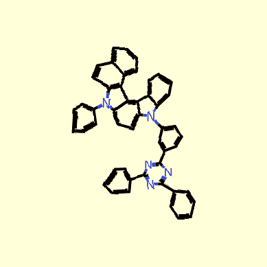 c1ccc(-c2nc(-c3ccccc3)nc(-c3cccc(-n4c5ccccc5c5c6c7c8ccccc8ccc7n(-c7ccccc7)c6ccc54)c3)n2)cc1